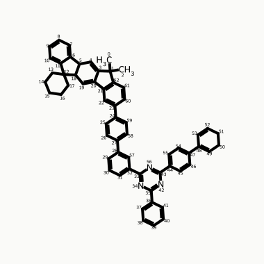 CC1(C)C2=CC3c4ccccc4C4(CCCCC4)C3C=C2c2cc(-c3ccc(-c4cccc(-c5nc(-c6ccccc6)nc(-c6ccc(C7=CCCC=C7)cc6)n5)c4)cc3)ccc21